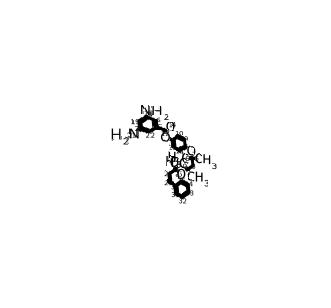 CC(C)(CC(C)(C)Oc1ccc(OC(=O)c2cc(N)cc(N)c2)cc1)OC(=O)/C=C\c1ccccc1